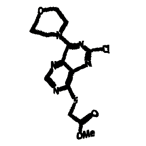 COC(=O)CSc1ncnc2c(N3CCOCC3)nc(Cl)nc12